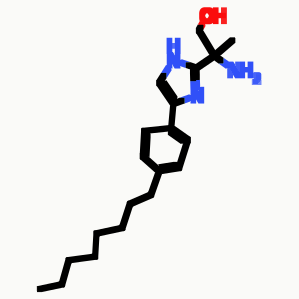 CCCCCCCCc1ccc(-c2c[nH]c(C(C)(N)CO)n2)cc1